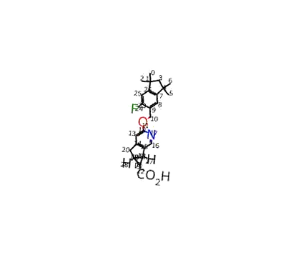 CC1(C)CC(C)(C)c2cc(COc3cc4c(cn3)[C@H]3[C@@H](C4)[C@@H]3C(=O)O)c(F)cc21